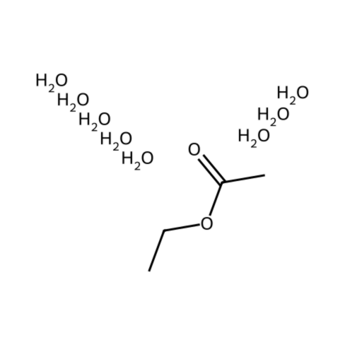 CCOC(C)=O.O.O.O.O.O.O.O.O